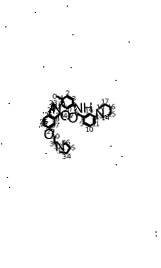 Cc1ccc(NC(=O)c2cccc(N3CCCCC3)c2)cc1[N+]12CC1c1ccc(OCCN3CCCC3)cc1C2=O